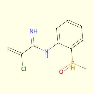 C=C(Cl)C(=N)Nc1ccccc1[PH](C)=O